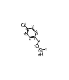 C[SiH](C)OCc1cnc(Cl)cn1